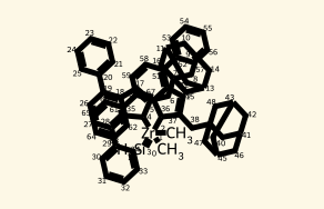 [CH3][Zr]([CH3])(=[SiH2])([CH]1C(CC23CC4CC(CC(C4)C2)C3)=Cc2c(-c3ccccc3)ccc(-c3ccccc3)c21)[CH]1C(CC23CC4CC(CC(C4)C2)C3)=Cc2c(-c3ccccc3)ccc(-c3ccccc3)c21